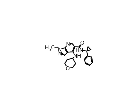 CCn1ncc2c(NC3CCOCC3)c(C(=O)NC3(c4ccccc4)CC3)cnc21